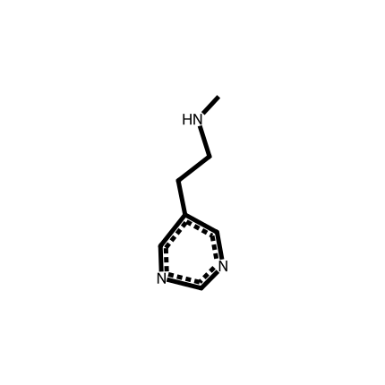 CNCCc1cncnc1